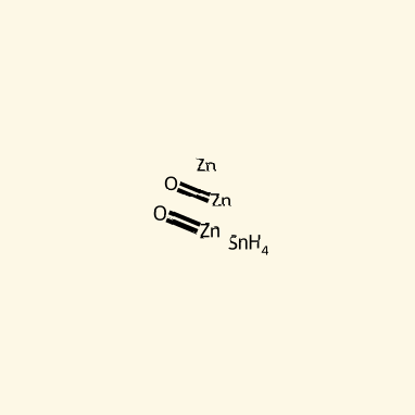 [O]=[Zn].[O]=[Zn].[SnH4].[Zn]